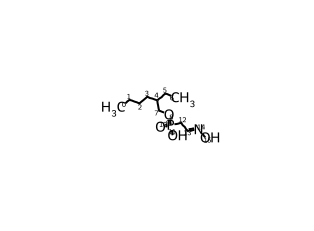 CCCCC(CC)COP(=O)(O)CC=NO